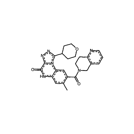 Cc1cc2[nH]c(=O)c3nnc(C4CCOCC4)n3c2cc1C(=O)N1CCc2ncccc2C1